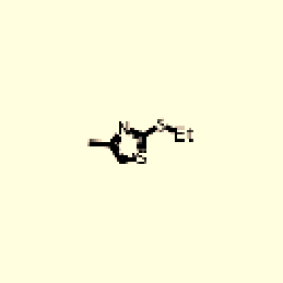 CCSc1nc(C)cs1